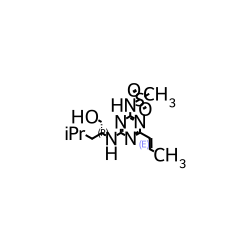 C/C=C/c1nc(N[C@@H](CO)CC(C)C)nc(NS(C)(=O)=O)n1